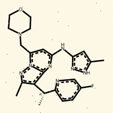 Cc1cc(Nc2cc(CN3CCOCC3)n3nc(C)c([C@@H](C)c4ccc(F)cn4)c3n2)n[nH]1